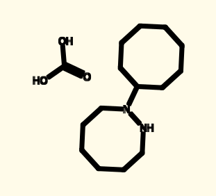 C1CCCC(N2CCCCCCN2)CCC1.O=C(O)O